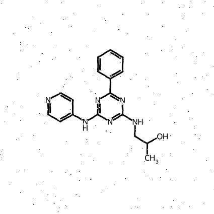 CC(O)CNc1nc(Nc2ccncc2)nc(-c2ccccc2)n1